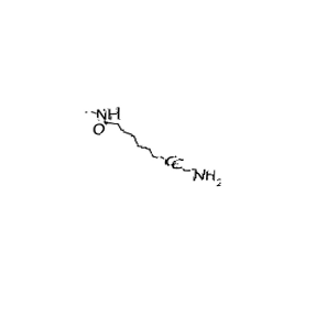 [CH2]NC(=O)CCCCCCCCCCCN